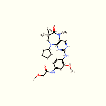 COCC(=O)Nc1ccc(Nc2ncc3c(n2)N(C2CCCC2)CC(C)(C)C(=O)N3C)c(OC)c1